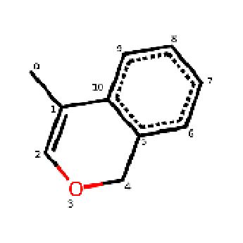 CC1=COCc2ccccc21